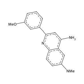 CNc1ccc2nc(-c3cccc(OC)c3)cc(N)c2c1